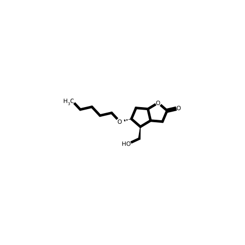 CCCCCO[C@@H]1CC2OC(=O)CC2[C@H]1CO